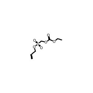 C=CCOS(=O)(=O)COC(=O)OCC